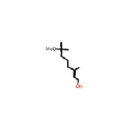 COC(C)(C)CCC/C(C)=C/CO